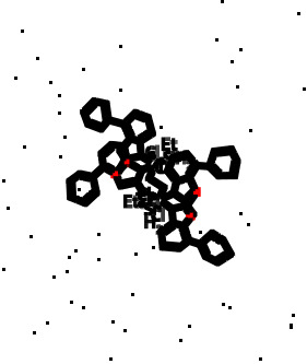 CC[SiH2][Zr]([Cl])([Cl])([CH2][CH2][Zr]([Cl])([Cl])([SiH2]CC)([CH]1C(C)=Cc2c(-c3ccccc3)cccc21)[CH]1C(C)=Cc2c(-c3ccccc3)cccc21)([CH]1C(C)=Cc2c(-c3ccccc3)cccc21)[CH]1C(C)=Cc2c(-c3ccccc3)cccc21